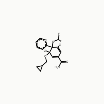 NC(=O)C1=CC(Cl)(OCC2CC2)C(OC(F)F)(c2ccccn2)C(Cl)=C1